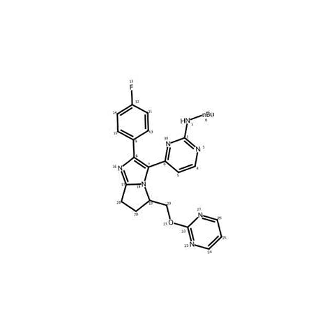 CCCCNc1nccc(-c2c(-c3ccc(F)cc3)nc3n2C(COc2ncccn2)CC3)n1